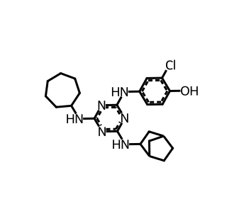 Oc1ccc(Nc2nc(NC3CCCCCC3)nc(NC3CC4CCC3C4)n2)cc1Cl